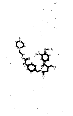 CCC1CC(=O)N(Cc2ccc(NC(=O)OCCN3CCNCC3)cc2)N=C1c1ccc(OC)c(OC)c1